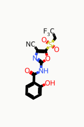 N#Cc1nc(NC(=O)c2ccccc2O)oc1S(=O)(=O)CC(F)(F)F